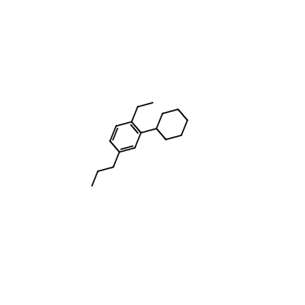 CCCc1ccc(CC)c(C2CCCCC2)c1